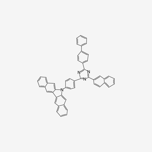 c1ccc(-c2ccc(-c3nc(-c4ccc(-n5c6cc7ccccc7cc6c6cc7ccccc7cc65)cc4)nc(-c4ccc5ccccc5c4)n3)cc2)cc1